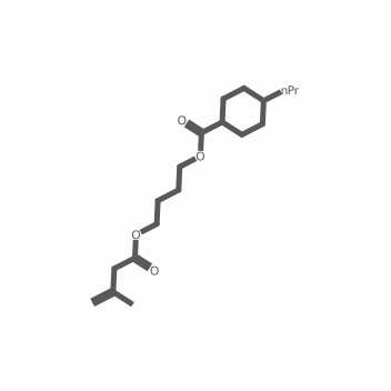 C=C(C)CC(=O)OCCCCOC(=O)C1CCC(CCC)CC1